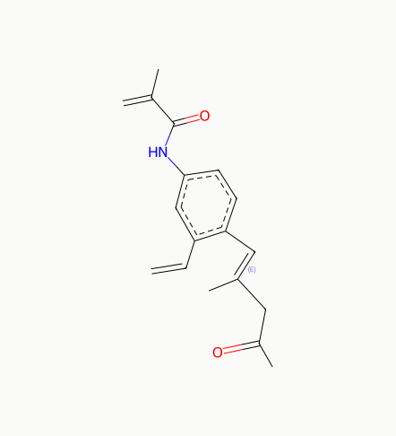 C=Cc1cc(NC(=O)C(=C)C)ccc1/C=C(\C)CC(C)=O